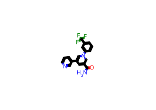 NC(=O)C1=CC(c2cccnc2)=CN(c2cccc(C(F)(F)F)c2)C1